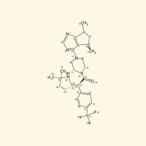 CC1C[C@@H](C)c2c1ncnc2N1CCN(C(=O)[C@@H](c2ccc(C(F)(F)F)cc2)[C@@H]2CCC(C)(C)N2)CC1